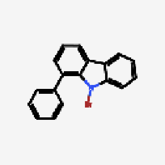 Brn1c2ccccc2c2cccc(-c3ccccc3)c21